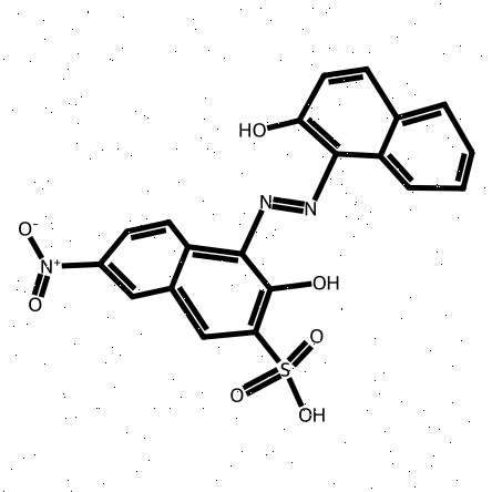 O=[N+]([O-])c1ccc2c(N=Nc3c(O)ccc4ccccc34)c(O)c(S(=O)(=O)O)cc2c1